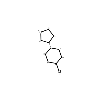 C1CCOC1.ClC1CCCCC1